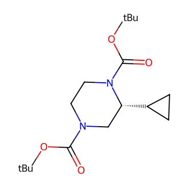 CC(C)(C)OC(=O)N1CCN(C(=O)OC(C)(C)C)[C@H](C2CC2)C1